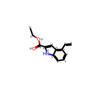 C=Cc1cccc2[nH]c(C(=O)OCC)cc12